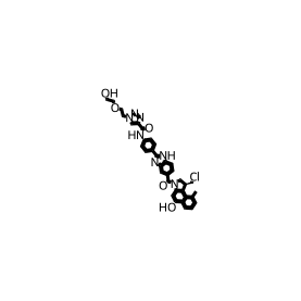 Cc1cccc2c(O)cc3c(c12)[C@H](CCl)CN3C(=O)c1ccc2[nH]c(-c3ccc(NC(=O)c4cn(CCOCCO)nn4)cc3)nc2c1